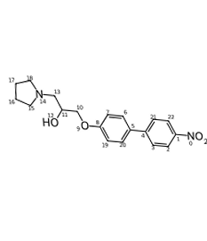 O=[N+]([O-])c1ccc(-c2ccc(OCC(O)CN3CCCC3)cc2)cc1